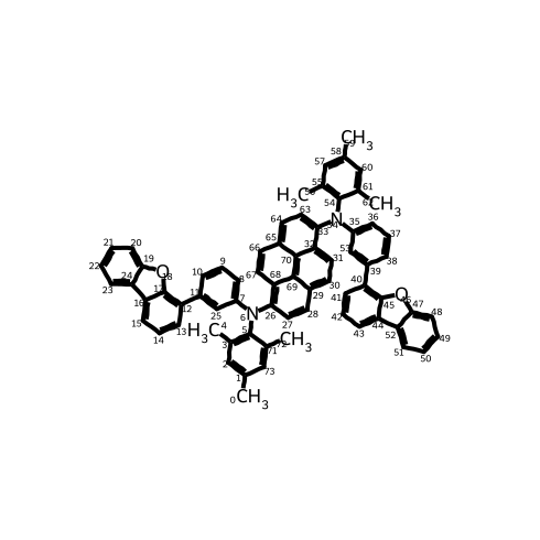 Cc1cc(C)c(N(c2cccc(-c3cccc4c3oc3ccccc34)c2)c2ccc3ccc4c(N(c5cccc(-c6cccc7c6oc6ccccc67)c5)c5c(C)cc(C)cc5C)ccc5ccc2c3c54)c(C)c1